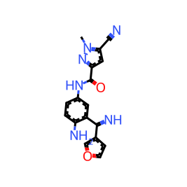 Cn1nc(C(=O)Nc2ccc(N)c(C(=N)c3ccoc3)c2)cc1C#N